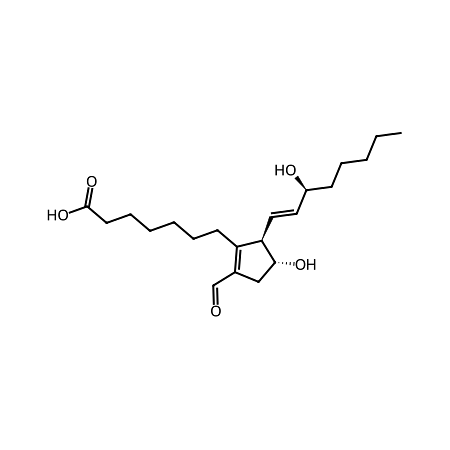 CCCCC[C@H](O)/C=C/[C@@H]1C(CCCCCCC(=O)O)=C(C=O)C[C@H]1O